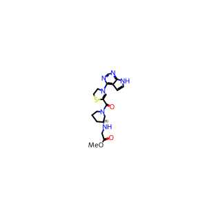 COC(=O)CN[C@@H]1CCCN(C(=O)C2=CN(c3ncnc4[nH]ccc34)CCS2)C1